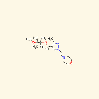 COC(C)(C)C(C)(C)OBc1cn(CCN2CCOCC2)nc1C